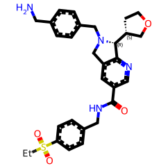 CCS(=O)(=O)c1ccc(CNC(=O)c2cnc3c(c2)CN(Cc2ccc(CN)cc2)[C@@H]3[C@@H]2CCOC2)cc1